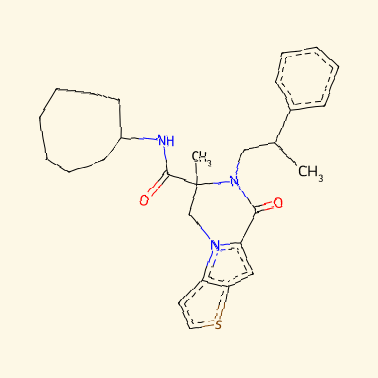 CC(CN1C(=O)c2cc3sccc3n2CC1(C)C(=O)NC1CCCCCCC1)c1ccccc1